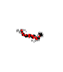 CNc1cc(N2CCc3c(CN4CCC(N5CCC(CC6CCN(C(=O)OC(C)(C)C)CC6)CC5)C(F)(F)C4)cccc32)nn2c(C(=O)N[C@@H]3CC[C@H]3OC)cnc12